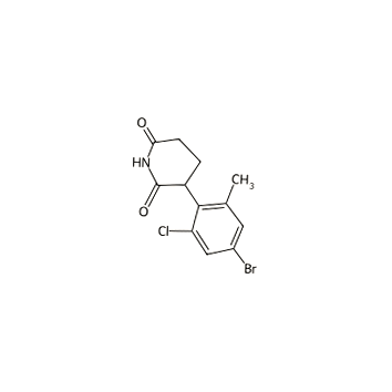 Cc1cc(Br)cc(Cl)c1C1CCC(=O)NC1=O